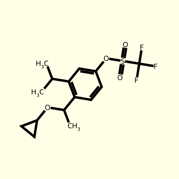 CC(C)c1cc(OS(=O)(=O)C(F)(F)F)ccc1C(C)OC1CC1